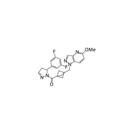 COc1ccc2c(cnn2CC23CC(C(=O)N4N=CCC4c4cc(F)cc(F)c4)(C2)C3)n1